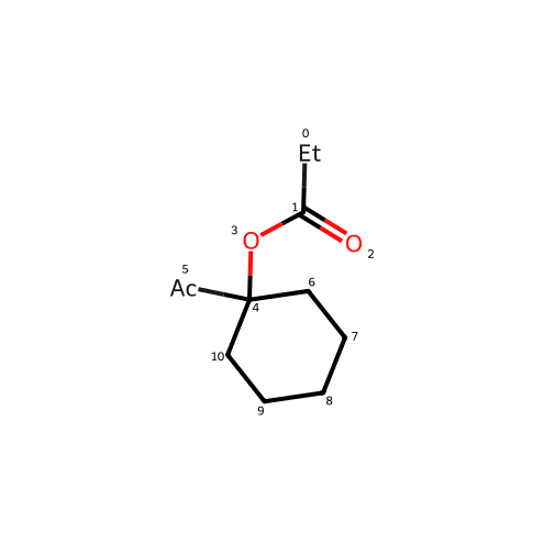 CCC(=O)OC1(C(C)=O)CCCCC1